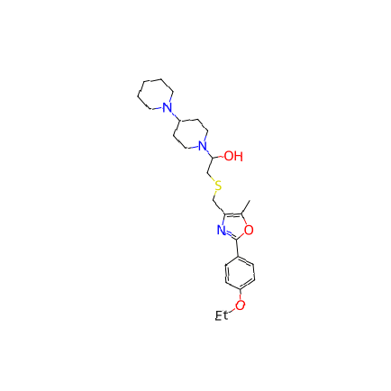 CCOc1ccc(-c2nc(CSCC(O)N3CCC(N4CCCCC4)CC3)c(C)o2)cc1